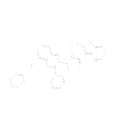 CC(NC(=O)c1c(N)nn2cccnc12)c1nc2cccc(C#Cc3ccncc3)c2cc1-c1ccccc1